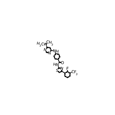 CN(C)c1cc(Nc2ccc(C(=O)Nc3nc(-c4cccc(C(F)(F)F)c4F)cs3)cc2)ncn1